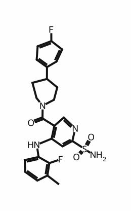 Cc1cccc(Nc2cc(S(N)(=O)=O)ncc2C(=O)N2CCC(c3ccc(F)cc3)CC2)c1F